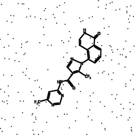 O=C(Nc1cc(C(F)(F)F)ncn1)c1cnn(-c2cccc3c(=O)[nH]ccc23)c1C(F)(F)F